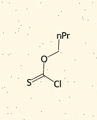 CCCCOC(=S)Cl